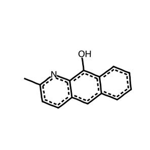 Cc1ccc2cc3ccccc3c(O)c2n1